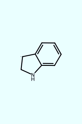 [CH]1CNc2ccccc21